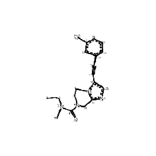 CCN(C)C(=O)N1CCn2c(C#Cc3cccc(Cl)c3)cnc2C1